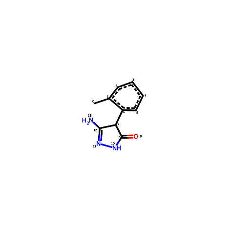 Cc1ccccc1C1C(=O)NN=C1N